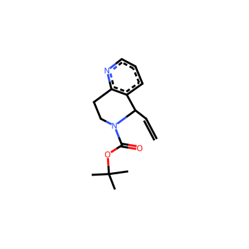 C=CC1c2cccnc2CCN1C(=O)OC(C)(C)C